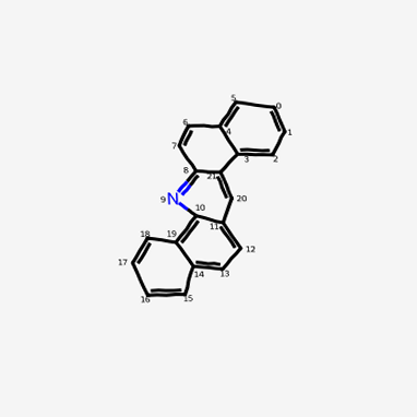 c1ccc2c(c1)ccc1nc3c(ccc4ccccc43)cc12